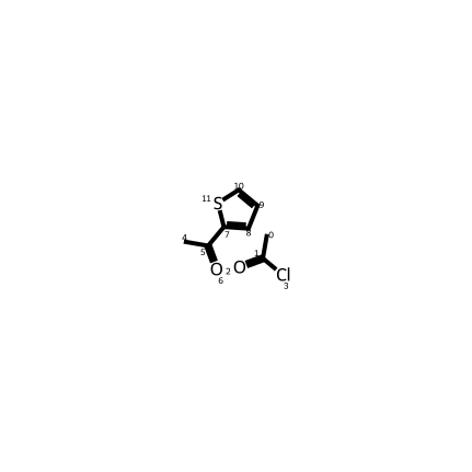 CC(=O)Cl.CC(=O)c1cccs1